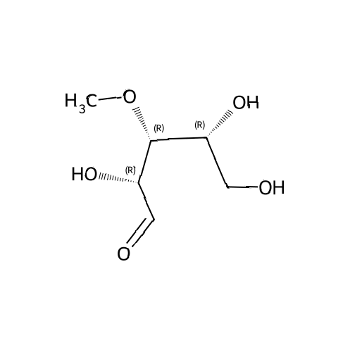 CO[C@H]([C@H](O)CO)[C@@H](O)C=O